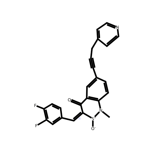 CN1c2ccc(C#CCc3ccncc3)cc2C(=O)/C(=C\c2ccc(F)c(F)c2)[S+]1[O-]